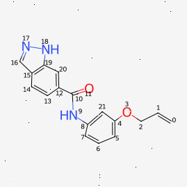 C=CCOc1cccc(NC(=O)c2ccc3cn[nH]c3c2)c1